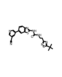 CC(C)(C)c1nc(CCNC(=O)Nc2nc3ccc(-c4cncc(C#N)c4)cc3s2)no1